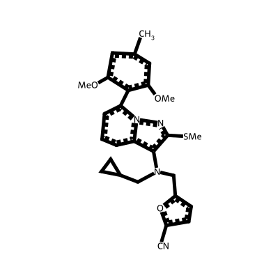 COc1cc(C)cc(OC)c1-c1cccc2c(N(Cc3ccc(C#N)o3)CC3CC3)c(SC)nn12